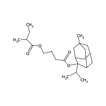 CCC(C)C(=O)OCCCC(=O)OC1(C(C)C)C2CC3CC1CC(C)(C3)C2